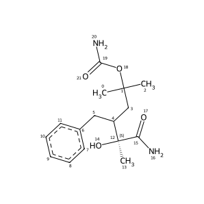 CC(C)(CC(Cc1ccccc1)[C@](C)(O)C(N)=O)OC(N)=O